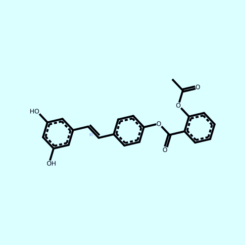 CC(=O)Oc1ccccc1C(=O)Oc1ccc(/C=C/c2cc(O)cc(O)c2)cc1